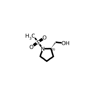 CS(=O)(=O)N1CCC[C@H]1CO